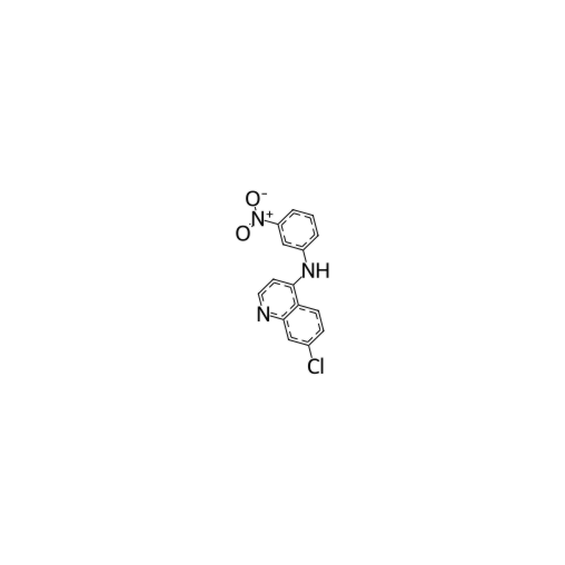 O=[N+]([O-])c1cccc(Nc2ccnc3cc(Cl)ccc23)c1